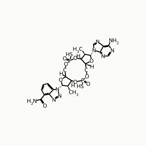 C[C@@H]1[C@@H]2OP(=O)(S)OC[C@H]3O[C@@H](n4nnc5c(C(N)=O)cccc54)[C@H](C)[C@@H]3OP(=O)(S)OC[C@H]2O[C@H]1n1cnc2c(N)ncnc21